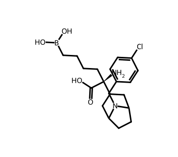 N[C@](CCCCB(O)O)(C(=O)O)C1CC2CCC(C1)N2Cc1ccc(Cl)cc1